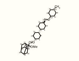 COC1(OO[C@H]2CC[C@@H](C3CCC(=NOC4CCN(C)CC4)CC3)CC2)C2CC3CC(C2)CC1C3